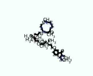 C/C=c1/c(=O)c2cc(OCCCN(C)CCC(C)(C)OCCC(C)(C)N(C)CCCOC3=C/C(C)C(=O)/C=C/C=C\C=C(/C)SC/C=C\3)ccc2s/c1=C/C